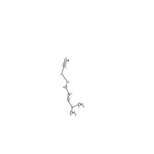 C#CCCO/N=[C]/C(C)C